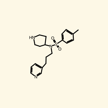 Cc1ccc(S(=O)(=O)N(CCCc2cccnc2)C2CCNCC2)cc1